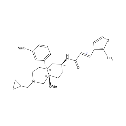 COc1cccc([C@@]23CCN(CC4CC4)C[C@@]2(OC)CC[C@H](NC(=O)/C=C/c2ccoc2C)C3)c1